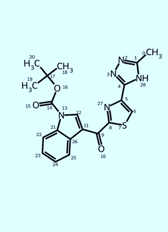 Cc1nnc(-c2csc(C(=O)c3cn(C(=O)OC(C)(C)C)c4ccccc34)n2)[nH]1